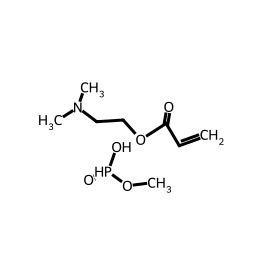 C=CC(=O)OCCN(C)C.CO[PH](=O)O